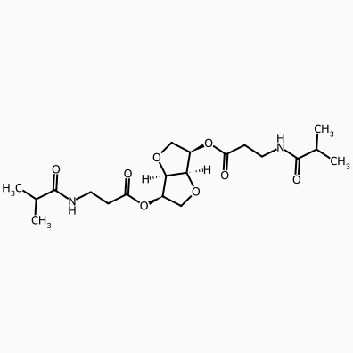 CC(C)C(=O)NCCC(=O)O[C@@H]1CO[C@H]2[C@@H]1OC[C@H]2OC(=O)CCNC(=O)C(C)C